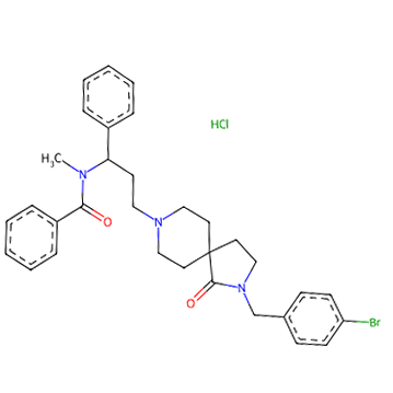 CN(C(=O)c1ccccc1)C(CCN1CCC2(CC1)CCN(Cc1ccc(Br)cc1)C2=O)c1ccccc1.Cl